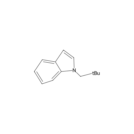 CC(C)(C)Cn1ccc2ccccc21